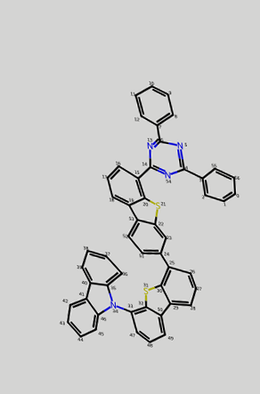 c1ccc(-c2nc(-c3ccccc3)nc(-c3cccc4c3sc3cc(-c5cccc6c5sc5c(-n7c8ccccc8c8ccccc87)cccc56)ccc34)n2)cc1